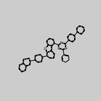 C1=CC(c2nc(-c3ccc(-c4ccccc4)cc3)nc(-c3cccc4oc5c(-c6ccc(-c7ccc8ccccc8c7)cc6)cccc5c34)n2)=CCC1